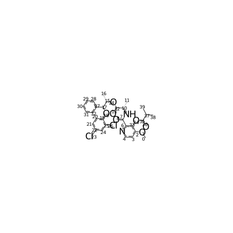 COc1ccnc(C(=O)N[C@@H](C)C(=O)O[C@@H](C)[C@@H](Oc2ccc(Cl)cc2Cl)c2ccccc2)c1OC(=O)C(C)C